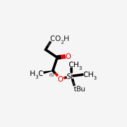 C[C@H](O[Si](C)(C)C(C)(C)C)C(=O)CC(=O)O